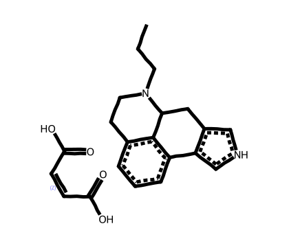 CCCN1CCc2cccc3c2C1Cc1c[nH]cc1-3.O=C(O)/C=C\C(=O)O